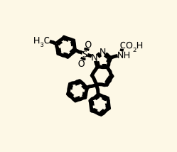 Cc1ccc(S(=O)(=O)n2nc(NC(=O)O)c3c2CC(c2ccccc2)(c2ccccc2)C=C3)cc1